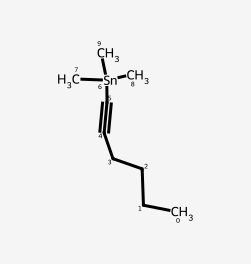 CCCCC#[C][Sn]([CH3])([CH3])[CH3]